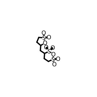 O=S1(=O)CCC(CC2CCS(=O)(=O)OS2(=O)=O)O1